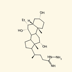 CC[C@H]1[C@@H](O)C2C3CCC([C@H](C)CCC(=N)NN)[C@@]3(C)[C@@H](O)CC2[C@@]2(C)CC[C@@H](O)C[C@@H]12